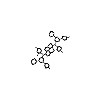 Cc1ccc(-c2cc(-c3ccccc3)cc(N(c3ccc(C)cc3)c3ccc4ccc5c(N(c6cc(-c7ccccc7)cc(-c7ccc(C)cc7)c6)c6ccc(C)cc6C)ccc6ccc3c4c65)c2)cc1